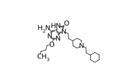 CCCCOc1nc(N)c2[nH]c(=O)n(CCC3CCN(CCC4CCCCC4)CC3)c2n1